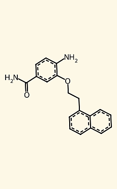 NC(=O)c1ccc(N)c(OCCc2cccc3ccccc23)c1